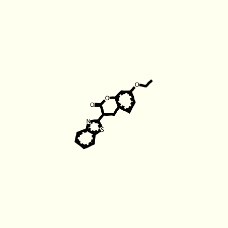 CCOc1ccc2c(c1)OC(=O)C(c1nc3ccccc3s1)C2